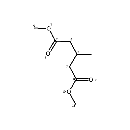 COC(=O)CC(C)CC(=O)OC